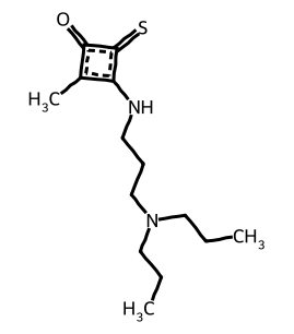 CCCN(CCC)CCCNc1c(C)c(=O)c1=S